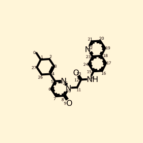 CC1CC=C(c2ccc(=O)n(CC(=O)Nc3ccc4cccnc4c3)n2)CC1